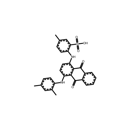 Cc1ccc(Nc2ccc(Nc3ccc(C)cc3S(=O)(=O)O)c3c2C(=O)c2ccccc2C3=O)c(C)c1